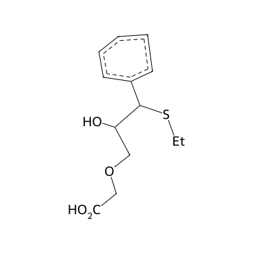 CCSC(c1ccccc1)C(O)COCC(=O)O